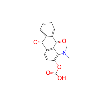 CN(C)c1c(OC(=O)O)ccc2c1C(=O)c1ccccc1C2=O